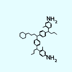 CCCC(c1ccc(C(CCCC2CCCCC2)c2ccc(C(CCC)c3ccc(N)cc3C)cc2)cc1)c1ccc(N)cc1C